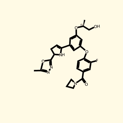 Cc1nnc(C2CC=C(c3cc(Oc4ccc(C(=O)N5CCC5)cc4F)cc(O[C@@H](C)CO)c3)N2)o1